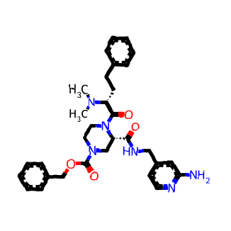 CN(C)[C@H](CCc1ccccc1)C(=O)N1CCN(C(=O)OCc2ccccc2)C[C@H]1C(=O)NCc1ccnc(N)c1